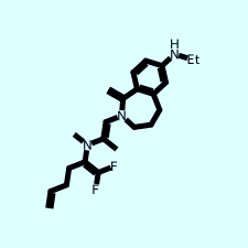 C=CCCC(=C(F)F)N(C)/C(C)=C/N1CCCc2cc(NCC)ccc2C1=C